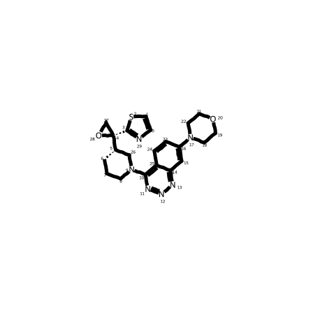 c1csc([C@@]2([C@H]3CCCN(c4nnnc5cc(N6CCOCC6)ccc45)C3)CO2)n1